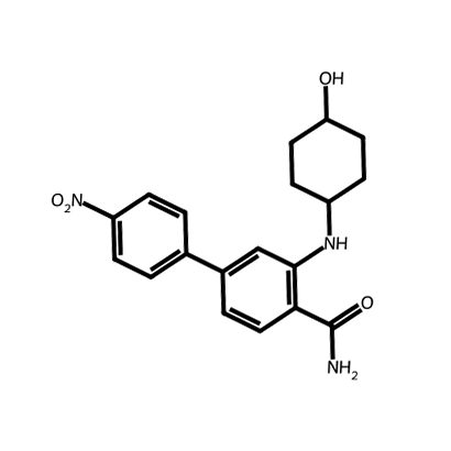 NC(=O)c1ccc(-c2ccc([N+](=O)[O-])cc2)cc1NC1CCC(O)CC1